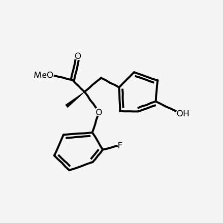 COC(=O)[C@](C)(Cc1ccc(O)cc1)Oc1ccccc1F